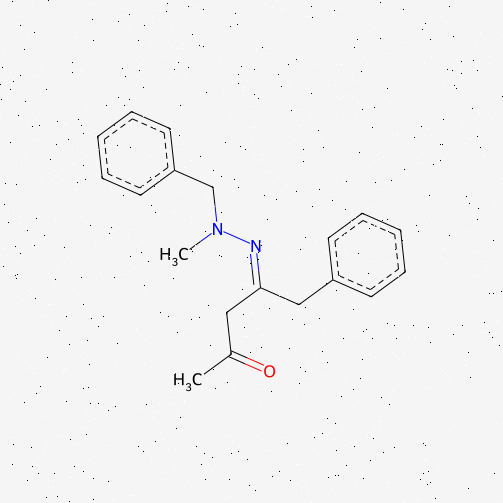 CC(=O)CC(Cc1ccccc1)=NN(C)Cc1ccccc1